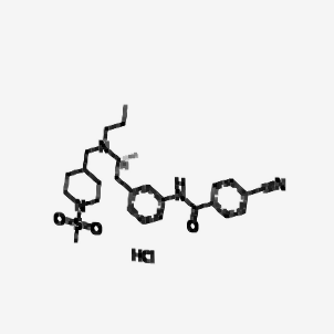 CCCN(CC1CCN(S(C)(=O)=O)CC1)[C@H](C)Cc1cccc(NC(=O)c2ccc(C#N)cc2)c1.Cl